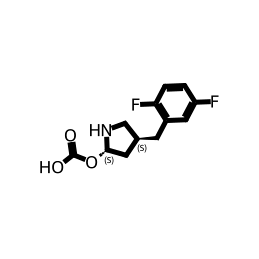 O=C(O)O[C@H]1C[C@H](Cc2cc(F)ccc2F)CN1